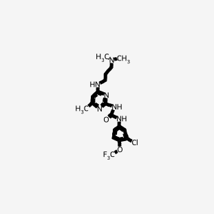 Cc1cc(NCCCN(C)C)nc(NC(=O)Nc2ccc(OC(F)(F)F)c(Cl)c2)n1